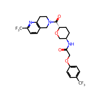 O=C(COc1ccc(C(F)(F)F)cc1)N[C@@H]1CC[C@@H](C(=O)N2CCc3nc(C(F)(F)F)ccc3C2)OC1